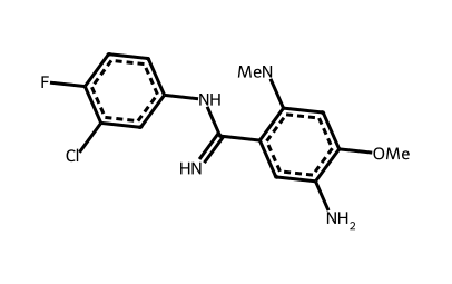 CNc1cc(OC)c(N)cc1C(=N)Nc1ccc(F)c(Cl)c1